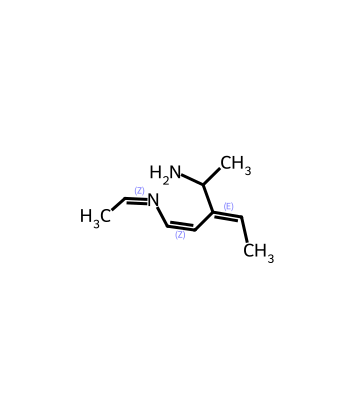 C\C=N/C=C\C(=C/C)C(C)N